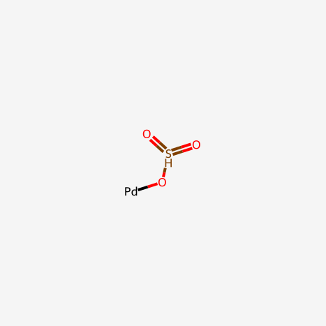 O=[SH](=O)[O][Pd]